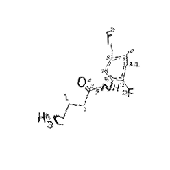 CCCC(=O)Nc1cc(F)ccc1F